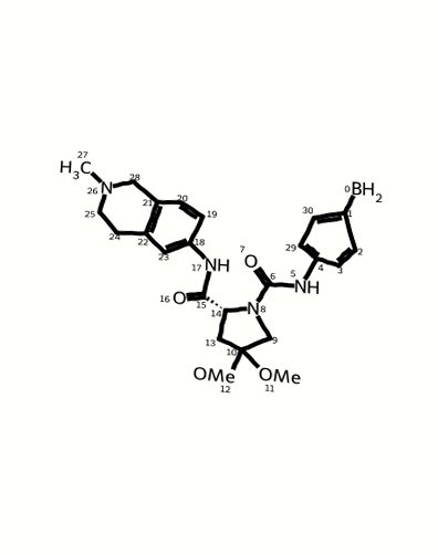 Bc1ccc(NC(=O)N2CC(OC)(OC)C[C@@H]2C(=O)Nc2ccc3c(c2)CCN(C)C3)cc1